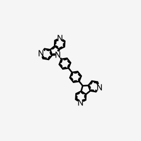 c1cc2c(cn1)-c1cnccc1C2c1ccc(-c2ccc(-n3c4ccncc4c4cnccc43)cc2)cc1